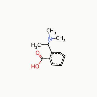 CC(c1ccccc1C(=O)O)N(C)C